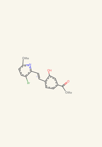 COC(=O)c1ccc(/C=C/c2nc(OC)ccc2Br)c(O)c1